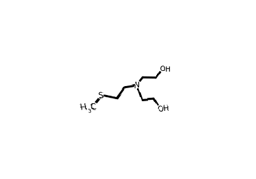 CSCCN(CCO)CCO